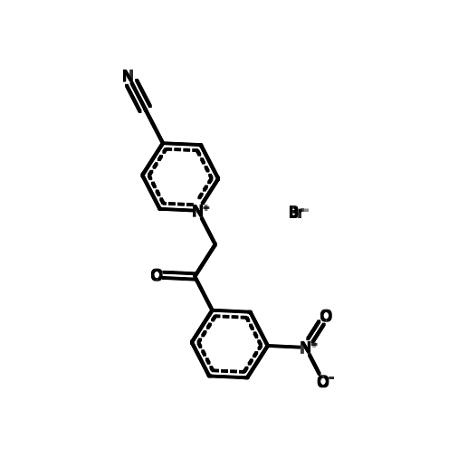 N#Cc1cc[n+](CC(=O)c2cccc([N+](=O)[O-])c2)cc1.[Br-]